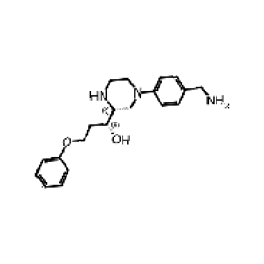 NCc1ccc(N2CCN[C@@H]([C@H](O)CCOc3cc[c]cc3)C2)cc1